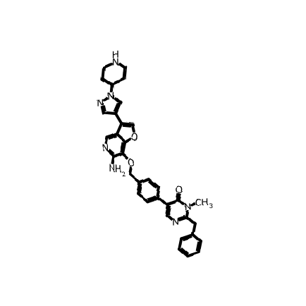 Cn1c(Cc2ccccc2)ncc(-c2ccc(COc3c(N)ncc4c(-c5cnn(C6CCNCC6)c5)coc34)cc2)c1=O